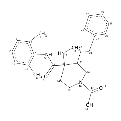 CNC1(C(=O)Nc2c(C)cccc2C)CCN(C(=O)O)CC1CCc1ccccc1